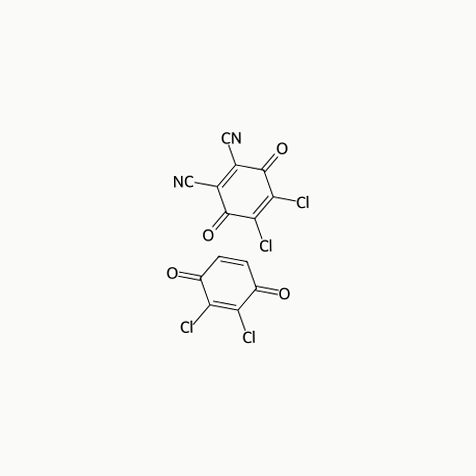 N#CC1=C(C#N)C(=O)C(Cl)=C(Cl)C1=O.O=C1C=CC(=O)C(Cl)=C1Cl